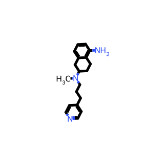 CN(CCCc1ccncc1)C1CCc2c(N)cccc2C1